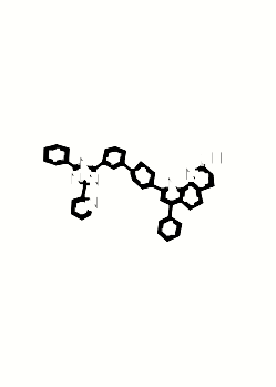 Cc1ccc2ccc3c(-c4ccccc4)cc(-c4ccc(-c5cccc(-c6nc(-c7ccccc7)nc(-c7ccccn7)n6)c5)cc4)nc3c2n1